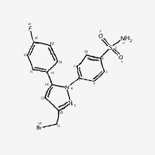 NS(=O)(=O)c1ccc(-n2nc(CBr)cc2-c2ccc(F)cc2)cc1